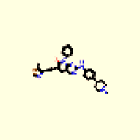 Cc1scnc1C#Cc1cc2cnc(Nc3ccc(C4CCN(C)CC4)cc3)nc2n(-c2ccccc2)c1=O